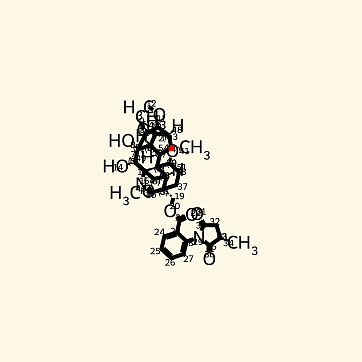 CO[C@H]1[C@@H]2C[C@@H]3[C@H]1[C@](O)(C[C@@H]2OC)[C@]1(O)C2N=C[C@]4(COC(=O)c5ccccc5N5C(=O)C[C@H](C)C5=O)CC[C@H](OC)[C@@]23[C@@H]4[C@@H]1OC